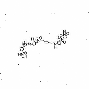 CN(Cc1ccc(SCc2cn(-c3cccc(C(=O)NO)c3)nn2)cc1)C(=O)CCCCCCCCNc1ccc2c(c1)C(=O)N(C1CCC(=O)NC1=O)C2=O